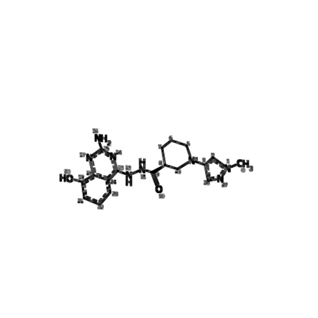 Cn1cc(N2CCC[C@H](C(=O)NNc3nc(N)nc4c(O)cccc34)C2)cn1